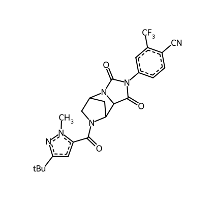 Cn1nc(C(C)(C)C)cc1C(=O)N1CC2CC1C1C(=O)N(c3ccc(C#N)c(C(F)(F)F)c3)C(=O)N21